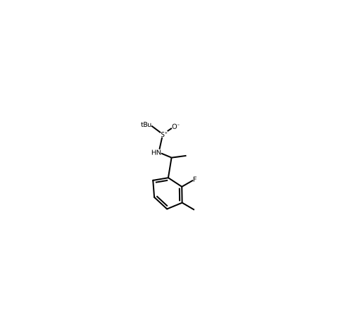 Cc1cccc(C(C)N[S+]([O-])C(C)(C)C)c1F